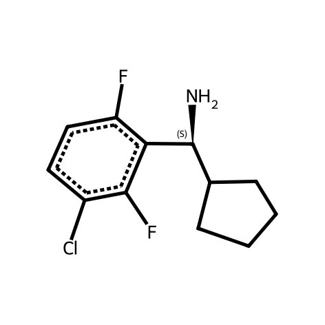 N[C@H](c1c(F)ccc(Cl)c1F)C1CCCC1